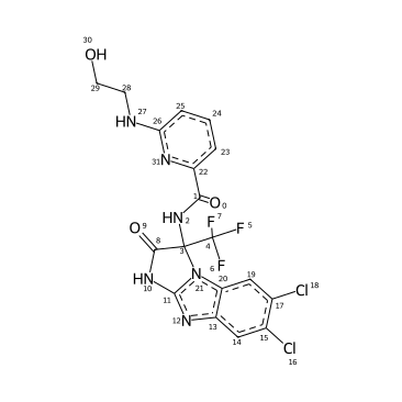 O=C(NC1(C(F)(F)F)C(=O)Nc2nc3cc(Cl)c(Cl)cc3n21)c1cccc(NCCO)n1